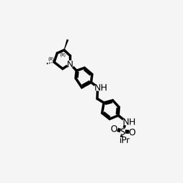 CC(C)S(=O)(=O)Nc1ccc(CNc2ccc(N3C[C@H](C)C[C@@H](C)C3)cc2)cc1